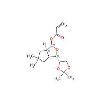 C=CC(=O)O[C@H]1O[C@H](C2COC(C)(C)O2)C2CC(C)(C)C[C@H]21